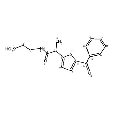 CC(C(=O)NCCS(=O)(=O)O)c1ccc(C(=O)c2ccccc2)s1